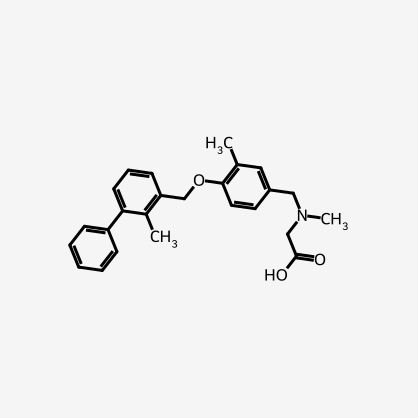 Cc1cc(CN(C)CC(=O)O)ccc1OCc1cccc(-c2ccccc2)c1C